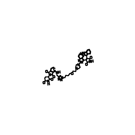 O=C1CCC(N2C(=O)c3cccc(NCc4cn(CCCCOCCN5CCN(c6nc(C7=C(c8c[nH]c9ccccc89)C(=O)NC7=O)c7ccccc7n6)CC5)nn4)c3C2=O)C(=O)N1